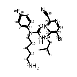 CC(C)CN(NC(=O)N(CCCCCN)c1ccc(F)cc1)c1nc(C#N)ncc1Br